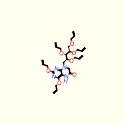 C=CCOC[C@@H](OCC=C)[C@@H](OCC=C)[C@H](CN1CC(=O)Nc2c(OCC=C)nc(OCC=C)nc21)OCC=C